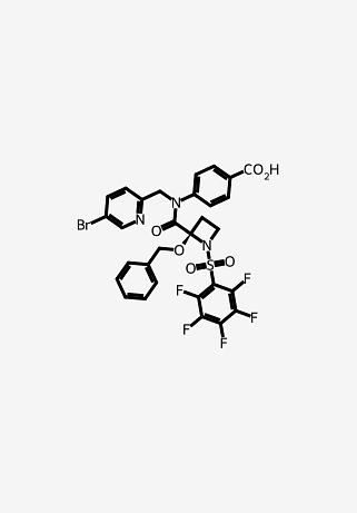 O=C(O)c1ccc(N(Cc2ccc(Br)cn2)C(=O)[C@]2(OCc3ccccc3)CCN2S(=O)(=O)c2c(F)c(F)c(F)c(F)c2F)cc1